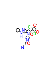 COc1cc(OC)c(Cl)c(-c2cc3cnc(Nc4ccccc4)cc3n(C3CCN(C(=O)/C=C/CN(C)C)CC3)c2=O)c1Cl